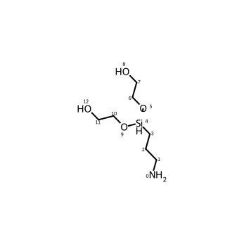 NCCC[SiH](OCCO)OCCO